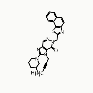 CC#CCn1c(N2CCCC(N)C2)nc2cnn(Cc3nc4ccc5ccccc5c4s3)c(=O)c21